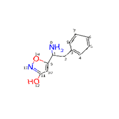 NC(Cc1ccccc1)c1cc(O)no1